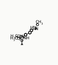 CC1=C[C@@H](c2ncc(-c3ccc4cc(-c5ccc6nc([C@@H]7C=C(C8CC8)CN7C(=O)OC(C)(C)C)[nH]c6c5)ccc4c3)[nH]2)CC1